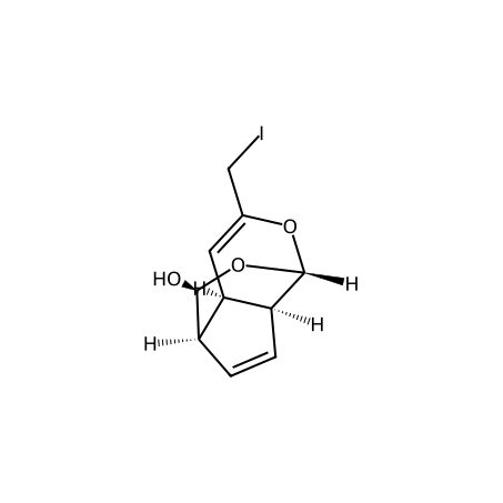 O[C@H]1O[C@@H]2OC(CI)=C[C@H]3[C@@H]2C=C[C@H]31